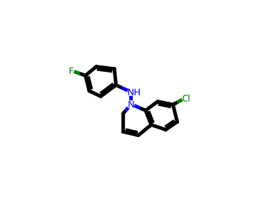 Fc1ccc(NN2CC=Cc3ccc(Cl)cc32)cc1